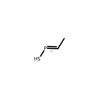 C/C=P/S